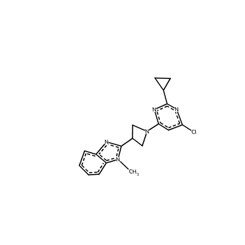 Cn1c(C2CN(c3cc(Cl)nc(C4CC4)n3)C2)nc2ccccc21